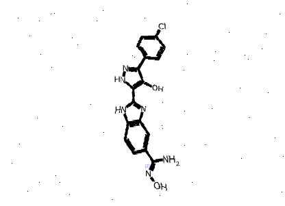 N/C(=N\O)c1ccc2[nH]c(-c3[nH]nc(-c4ccc(Cl)cc4)c3O)nc2c1